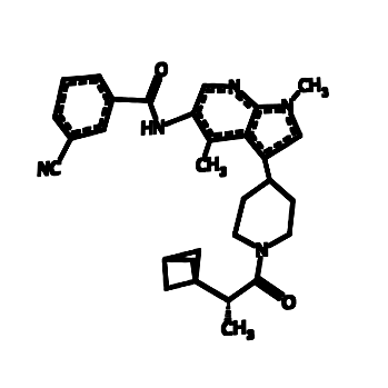 Cc1c(NC(=O)c2cccc(C#N)c2)cnc2c1c(C1CCN(C(=O)[C@H](C)C34CC(C3)C4)CC1)cn2C